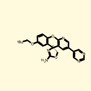 CC(C)(C)COc1ccc2c(c1)[C@@]1(COC(N)=N1)c1cc(-c3cncnc3)cnc1O2